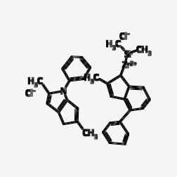 CC1=Cc2c(-c3ccccc3)cccc2[CH]1[Zr+2][Si](C)C.CC1=Cc2c(cc(C)n2-c2ccccc2)C1.[Cl-].[Cl-]